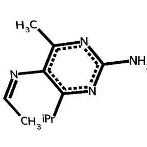 C/C=N\c1c(C)nc(N)nc1C(C)C